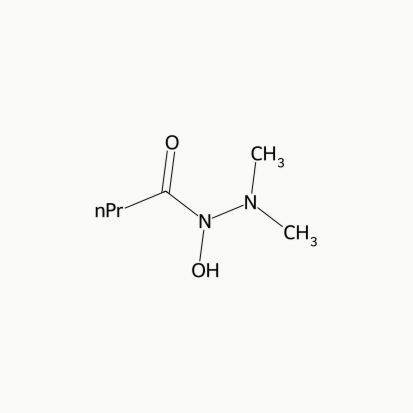 CCCC(=O)N(O)N(C)C